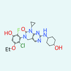 CCOc1cc(O)c(F)c(N2Cc3cnc(NC4CCC(O)CC4)nc3N(C3CC3)C2=O)c1Cl